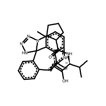 Cc1ccc2[nH]c3c(Br)c2c1C1(NN=NN1C1CCCC1C(=O)N[C@H](C(=O)O)C(C)C)c1ccccc1-3